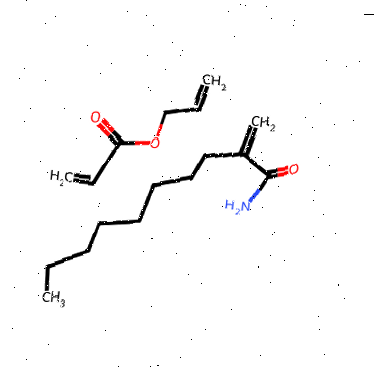 C=C(CCCCCCCC)C(N)=O.C=CCOC(=O)C=C